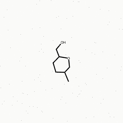 CC1CCC(CO)OC1